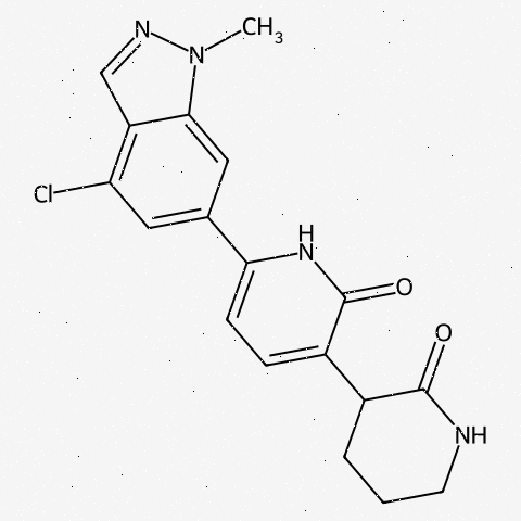 Cn1ncc2c(Cl)cc(-c3ccc(C4CCCNC4=O)c(=O)[nH]3)cc21